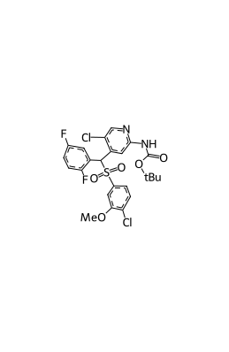 COc1cc(S(=O)(=O)C(c2cc(F)ccc2F)c2cc(NC(=O)OC(C)(C)C)ncc2Cl)ccc1Cl